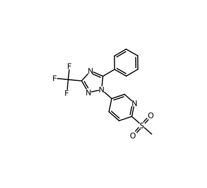 CS(=O)(=O)c1ccc(-n2nc(C(F)(F)F)nc2-c2ccccc2)cn1